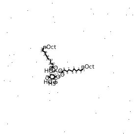 CCCCCCCC/C=C\CCCCCCCC(=O)OC[C@H](CO)OC(=O)CCCCCCC/C=C\CCCCCCCC.O=C1CCC(=O)C(SS)C1O